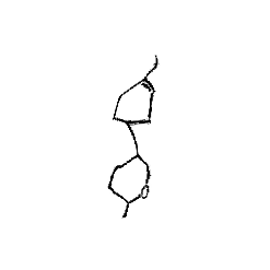 CC1CCC(C2CC=C(I)CC2)CO1